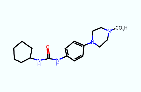 O=C(Nc1ccc(N2CCN(C(=O)O)CC2)cc1)NC1CCCCC1